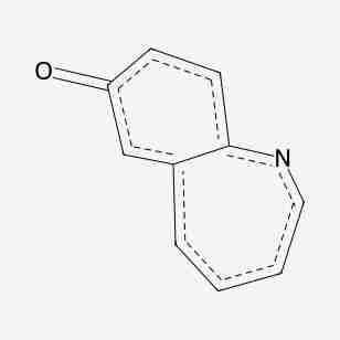 O=c1ccc2nccccc-2c1